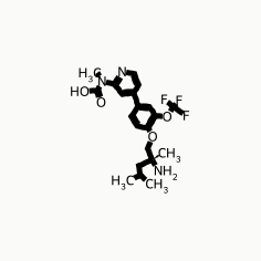 CC(C)C[C@](C)(N)COc1ccc(-c2ccnc(N(C)C(=O)O)c2)cc1OC(F)(F)F